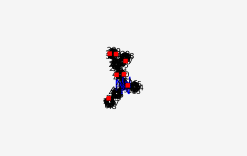 c1ccc(-c2ccc(-c3nc(-c4ccccc4)nc(-c4ccc(-c5ccc(-c6ccccc6)c6c5Cc5ccccc5-6)cc4)n3)cc2)cc1